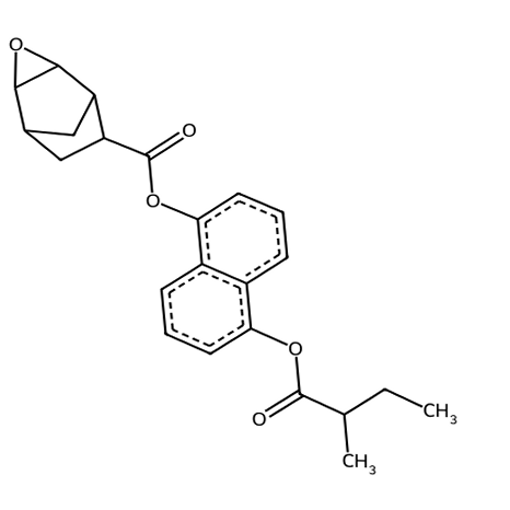 CCC(C)C(=O)Oc1cccc2c(OC(=O)C3CC4CC3C3OC43)cccc12